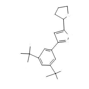 FC(F)(F)c1cc(-c2cc(C3CCCN3)on2)cc(C(F)(F)F)c1